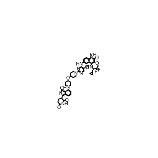 Cn1nc(C2CCC(=O)NC2=O)c2cccc(N3CCC(OC4CCN(c5ncc(Cl)c(Nc6ccc7c(c6)c6c(c(=O)n7C)OCC(F)(F)C(C7CC7)N6)n5)CC4)CC3)c21